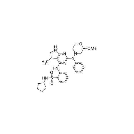 COC1CN(N(c2ccccc2)c2nc3c(c(Nc4ccccc4S(=O)(=O)NC4CCCC4)n2)C(C)CN3)CCO1